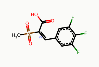 CS(=O)(=O)/C(=C/c1cc(F)c(F)c(F)c1)C(=O)O